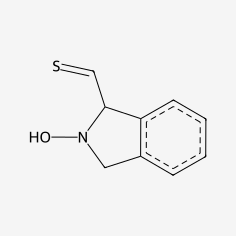 ON1Cc2ccccc2C1C=S